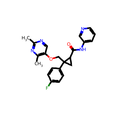 Cc1ncc(OCC2(c3ccc(F)cc3)CC2C(=O)Nc2cccnc2)c(C)n1